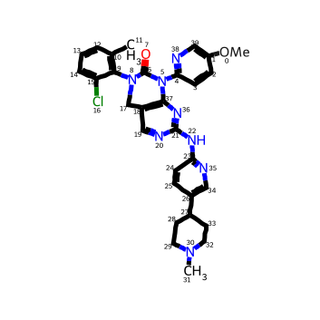 COc1ccc(N2C(=O)N(c3c(C)cccc3Cl)Cc3cnc(Nc4ccc(C5CCN(C)CC5)cn4)nc32)nc1